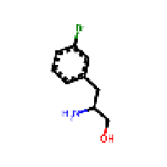 NC(CO)Cc1cccc(Br)c1